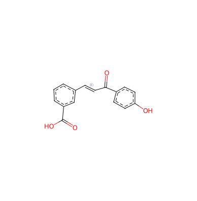 O=C(O)c1cccc(/C=C/C(=O)c2ccc(O)cc2)c1